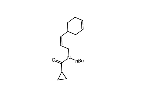 CCCCN(C/C=C\C1CC=CCC1)C(=O)C1CC1